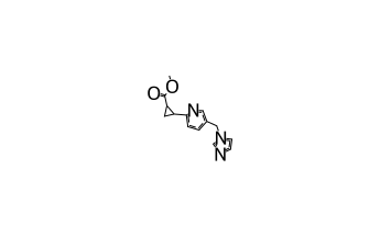 COC(=O)C1CC1c1ccc(Cn2ccnc2)cn1